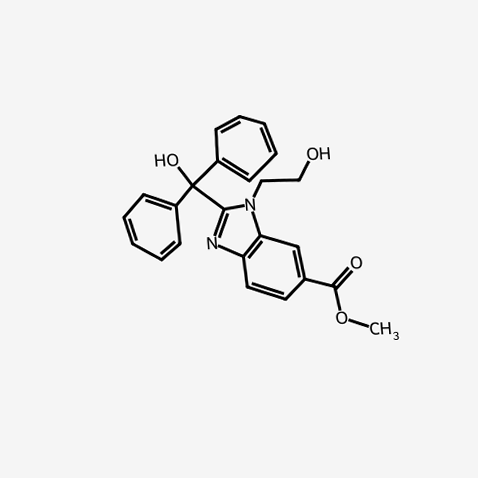 COC(=O)c1ccc2nc(C(O)(c3ccccc3)c3ccccc3)n(CCO)c2c1